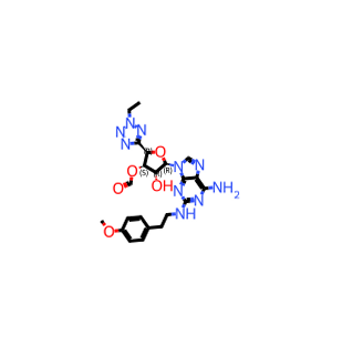 CCn1nnc([C@H]2O[C@@H](n3cnc4c(N)nc(NCCc5ccc(OC)cc5)nc43)[C@H](O)[C@@H]2OC=O)n1